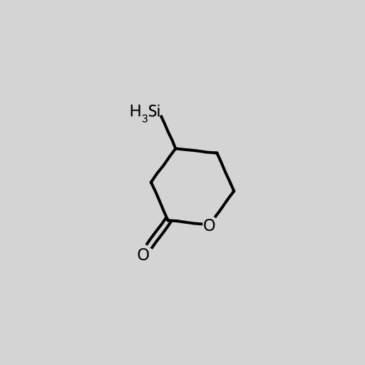 O=C1CC([SiH3])CCO1